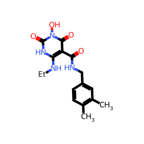 CCNc1[nH]c(=O)n(O)c(=O)c1C(=O)NCc1ccc(C)c(C)c1